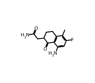 Cc1c(F)cc(N)c2c1CCC(CC(N)=O)C2=O